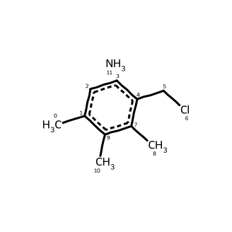 Cc1ccc(CCl)c(C)c1C.N